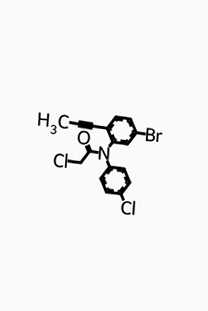 CC#Cc1ccc(Br)cc1N(C(=O)CCl)c1ccc(Cl)cc1